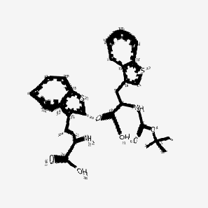 CC(C)(C)OC(=O)NC(Cc1csc2ccccc12)C(=O)O.NC(Cc1csc2ccccc12)C(=O)O